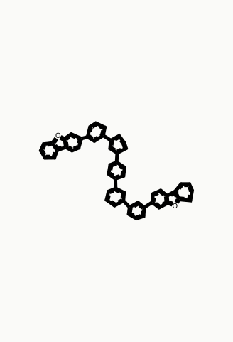 c1cc(-c2ccc(-c3cccc(-c4cccc(-c5ccc6c(c5)oc5ccccc56)c4)c3)cc2)cc(-c2cccc(-c3ccc4c(c3)oc3ccccc34)c2)c1